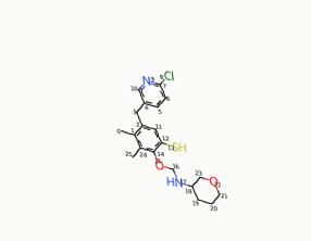 Cc1c(Cc2ccc(Cl)nc2)cc(S)c(OCNC2CCCOC2)c1C